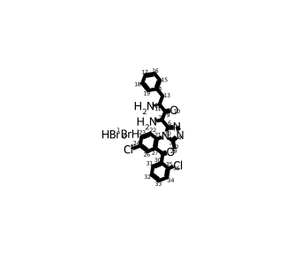 Br.Br.Cc1nnc(C(N)C(=O)[C@@H](N)Cc2ccccc2)n1-c1ccc(Cl)cc1C(=O)c1ccccc1Cl